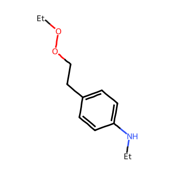 CCNc1ccc(CCOOCC)cc1